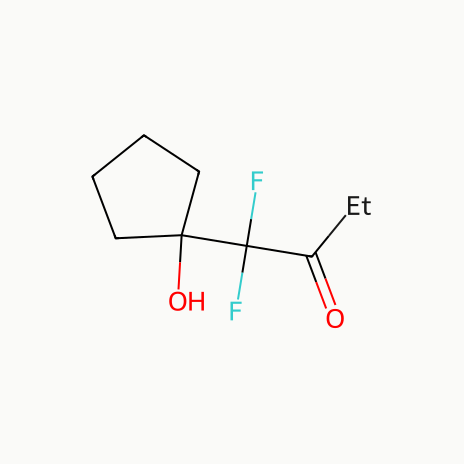 CCC(=O)C(F)(F)C1(O)CCCC1